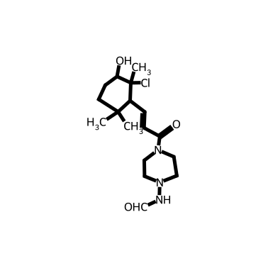 CC1(C)CCC(O)C(C)(Cl)C1C=CC(=O)N1CCN(NC=O)CC1